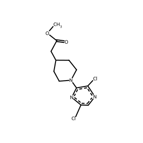 COC(=O)CC1CCN(c2nc(Cl)cnc2Cl)CC1